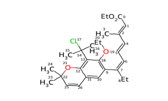 CCOC(=O)/C=C(C)/C=C/C=C(/CC)c1cc2c(c(C(C)(C)Cl)c1OCC)OC(C)(C)C=C2